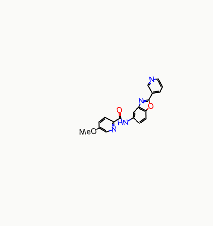 COc1ccc(C(=O)Nc2ccc3oc(-c4cccnc4)nc3c2)nc1